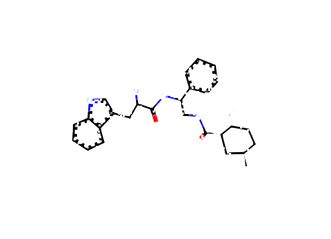 CC(C)[C@@H]1CC[C@@H](C)C[C@H]1C(=O)NCC(NC(=O)C(N)Cc1c[nH]c2ccccc12)c1ccccc1.Cl